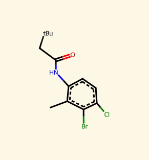 Cc1c(NC(=O)CC(C)(C)C)ccc(Cl)c1Br